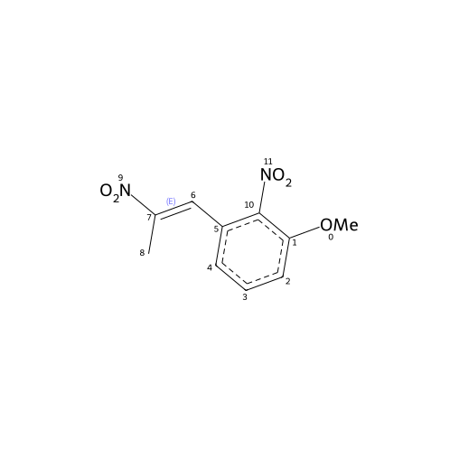 COc1cccc(/C=C(\C)[N+](=O)[O-])c1[N+](=O)[O-]